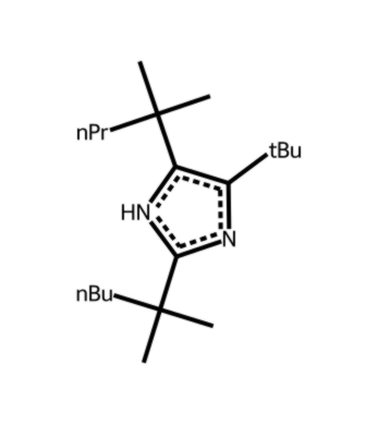 CCCCC(C)(C)c1nc(C(C)(C)C)c(C(C)(C)CCC)[nH]1